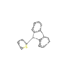 c1csc(C2c3ccccc3-c3ccccc32)c1